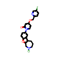 O=c1cc(OCc2ccc(F)cn2)ccn1-c1ccc2oc3c(c2c1)CCCN(Cl)C3